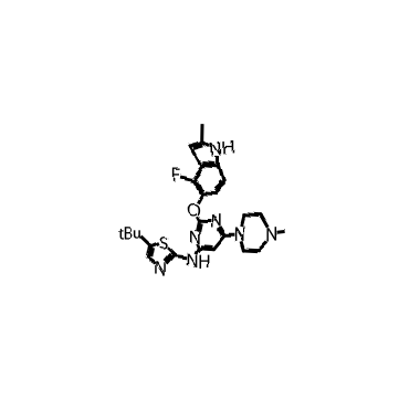 Cc1cc2c(F)c(Oc3nc(Nc4ncc(C(C)(C)C)s4)cc(N4CCN(C)CC4)n3)ccc2[nH]1